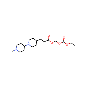 CCOC(=O)OCOC(=O)CCC1CCN(C2CCN(C)CC2)CC1